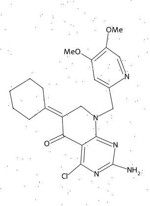 COc1cnc(CN2CC(=C3CCCCC3)C(=O)c3c(Cl)nc(N)nc32)cc1OC